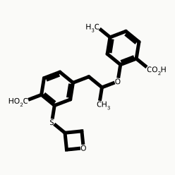 Cc1ccc(C(=O)O)c(OC(C)Cc2ccc(C(=O)O)c(SC3COC3)c2)c1